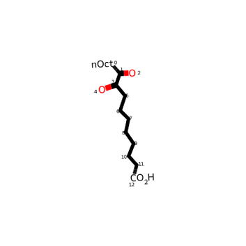 CCCCCCCCC(=O)C(=O)CCCCCCCC(=O)O